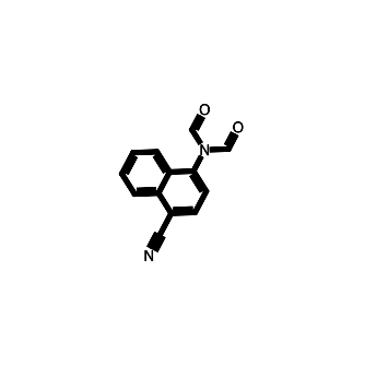 N#Cc1ccc(N(C=O)C=O)c2ccccc12